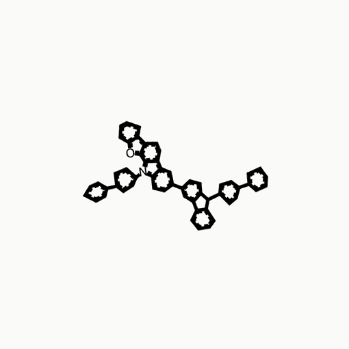 c1ccc(-c2ccc(C3c4ccccc4-c4cc(-c5ccc6c(c5)c5ccc7c8ccccc8oc7c5n6-c5ccc(-c6ccccc6)cc5)ccc43)cc2)cc1